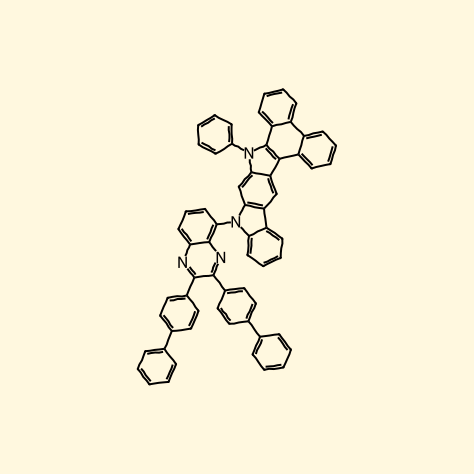 c1ccc(-c2ccc(-c3nc4cccc(-n5c6ccccc6c6cc7c8c9ccccc9c9ccccc9c8n(-c8ccccc8)c7cc65)c4nc3-c3ccc(-c4ccccc4)cc3)cc2)cc1